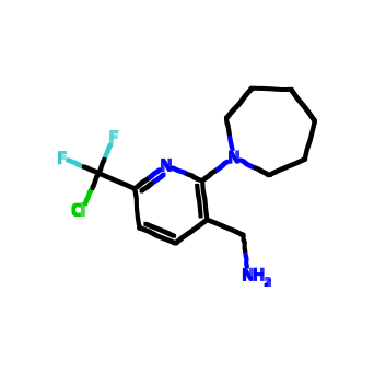 NCc1ccc(C(F)(F)Cl)nc1N1CCCCCC1